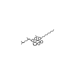 CCCCCCCCCCOc1c(OC(C)C)c2c(OCC=C(C)CCC=C(C)C)cccc2oc1=O